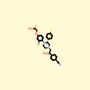 C[C@@H](O)COc1ccc(N2CCN(C[C@H](O)c3ccc(C#N)cc3)C[C@H]2c2ccc(F)cc2)c(Cl)c1